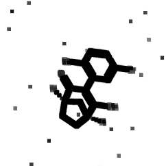 CCc1ccc(Br)cc1C1=C(O)[C@H]2CC[C@H](C2)C1=O